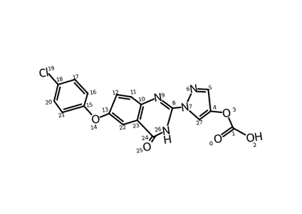 O=C(O)Oc1cnn(-c2nc3ccc(Oc4ccc(Cl)cc4)cc3c(=O)[nH]2)c1